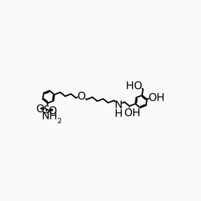 NS(=O)(=O)c1cccc(CCCCOCCCCCCNC[C@@H](O)c2ccc(O)c(CO)c2)c1